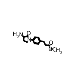 COC(=O)CCc1ccc(N2CCC(N)C2=O)cc1